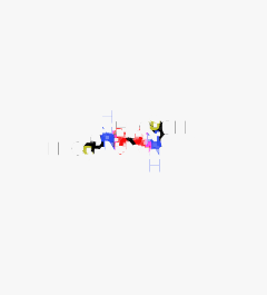 CC1=CC(C)(Cc2c[nH]c(OC(=O)/C=C/C(=O)Oc3nc(CC4(C)C=C(C)SC4)c[nH]3)n2)CS1